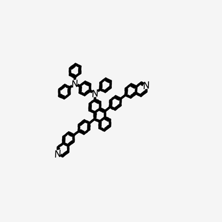 c1ccc(N(c2ccccc2)c2ccc(N(c3ccccc3)c3ccc4c(-c5ccc(-c6ccc7cnccc7c6)cc5)c5ccccc5c(-c5ccc(-c6ccc7cnccc7c6)cc5)c4c3)cc2)cc1